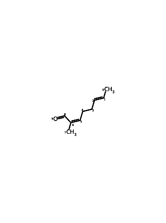 CC=CCCC=C(C)C=O